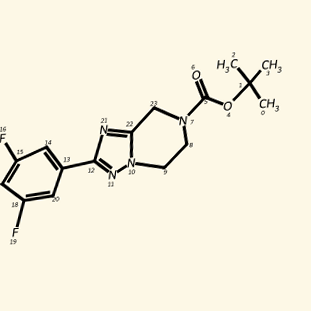 CC(C)(C)OC(=O)N1CCn2nc(-c3cc(F)cc(F)c3)nc2C1